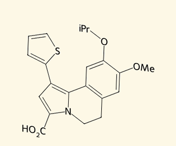 COc1cc2c(cc1OC(C)C)-c1c(-c3cccs3)cc(C(=O)O)n1CC2